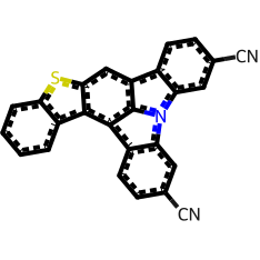 N#Cc1ccc2c3cc4sc5ccccc5c4c4c5ccc(C#N)cc5n(c2c1)c34